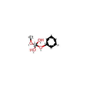 CCO[Si](O)(O)Oc1ccccc1